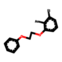 CCc1cccc(OCCOc2ccccc2)c1C(C)=O